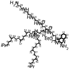 CCOCc1nc2c(N)nc3ccccc3c2n1CCCNC(=O)[C@H](CCC(=O)NCCCNCCCCNCCCN)NCCC[PH](O)(OCCC(C)CCCC(C)CCCC(C)CCCC(C)C)OCCC(C)CCCC(C)CCCC(C)CCCC(C)C